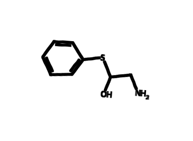 NCC(O)Sc1ccccc1